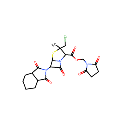 CC1(CCl)SC2C(N3C(=O)C4CCCCC4C3=O)C(=O)N2C1C(=O)OCN1C(=O)CCC1=O